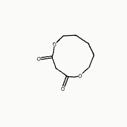 O=C1CC(=O)OCCCCCO1